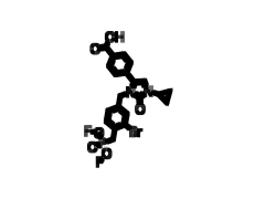 O=C(O)c1ccc(-c2cn(C3CC3)c(=O)n2Cc2ccc(CP(=O)(OF)OF)c(Br)c2)cc1